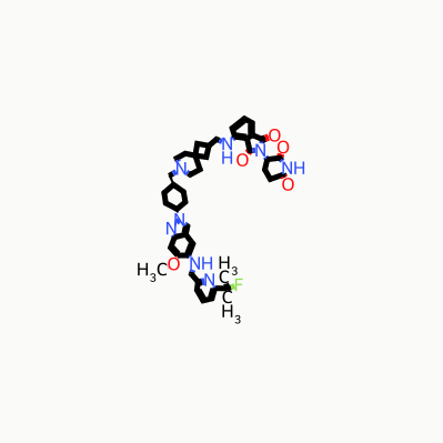 COc1cc2nn([C@H]3CC[C@H](CN4CCC5(CC4)CC(CNc4cccc6c4C(=O)N(C4CCC(=O)NC4=O)C6=O)C5)CC3)cc2cc1NCc1cccc(C(C)(C)F)n1